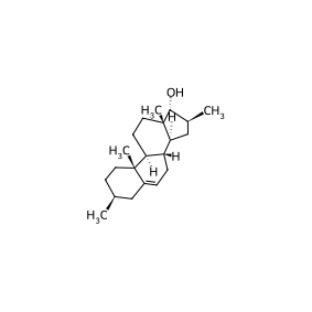 C[C@H]1CC[C@@]2(C)C(=CC[C@H]3[C@@H]4C[C@H](C)[C@@H](O)[C@@]4(C)CC[C@@H]32)C1